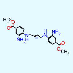 COC(=O)c1ccc(NC/C=C/CNc2ccc(C(=O)OC)cc2N)c(N)c1